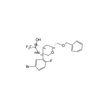 O=C(N[C@@]1(c2cc(Br)ccc2F)CO[C@@H](COCc2ccccc2)C[C@H]1CO)C(F)(F)F